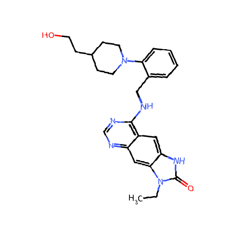 CCn1c(=O)[nH]c2cc3c(NCc4ccccc4N4CCC(CCO)CC4)ncnc3cc21